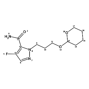 NC(=O)c1c(F)cnn1CCCOC1CCCCO1